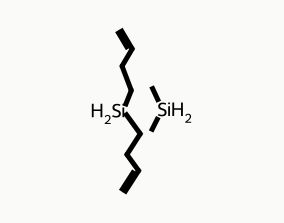 C=CCC[SiH2]CCC=C.C[SiH2]C